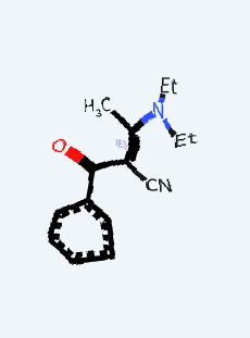 CCN(CC)/C(C)=C(\C#N)C(=O)c1ccccc1